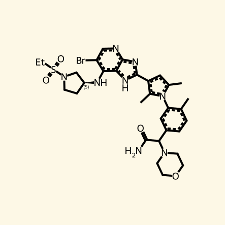 CCS(=O)(=O)N1CC[C@H](Nc2c(Br)cnc3nc(-c4cc(C)n(-c5cc(C(C(N)=O)N6CCOCC6)ccc5C)c4C)[nH]c23)C1